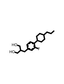 CCCC1CCC(c2ccc(CC(CO)CO)cc2F)CC1